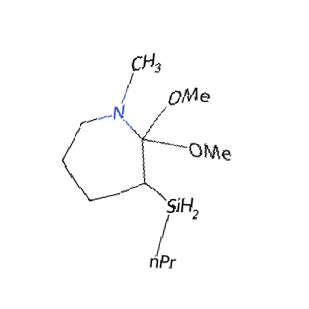 CCC[SiH2]C1CCCN(C)C1(OC)OC